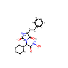 O=C(NO)[C@@H](C1CCCCC1)N1C(=O)N[C@@H](CCc2ccccc2)C1=O